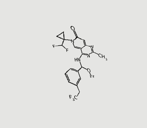 CCOC(Nc1nc(C)nc2cc(=O)n(C3(C(F)F)CC3)cc12)c1cccc(CC(F)(F)F)c1